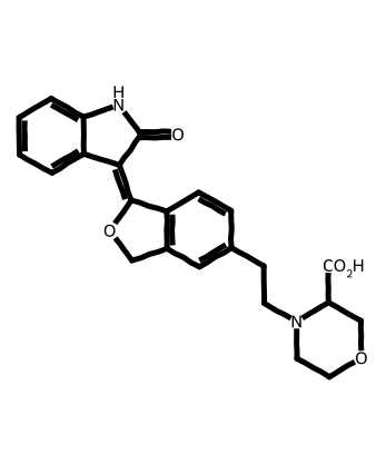 O=C1Nc2ccccc2/C1=C1\OCc2cc(CCN3CCOCC3C(=O)O)ccc21